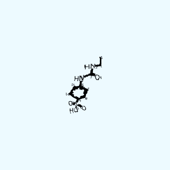 CCNC(=O)Nc1ccc(S(=O)(=O)O)cc1